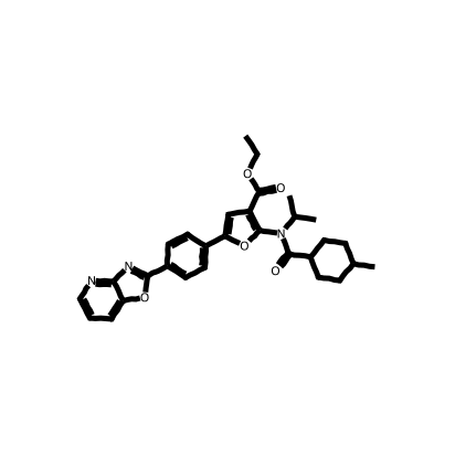 CCOC(=O)c1cc(-c2ccc(-c3nc4ncccc4o3)cc2)oc1N(C(=O)C1CCC(C)CC1)C(C)C